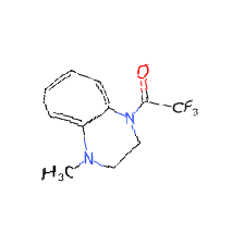 CN1CCN(C(=O)C(F)(F)F)c2ccccc21